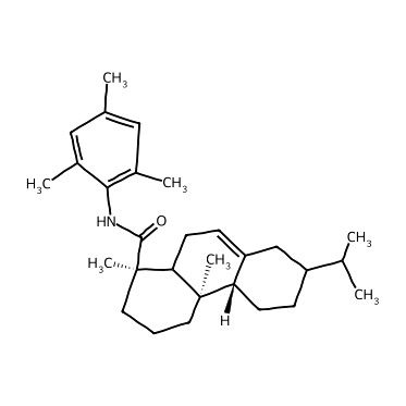 Cc1cc(C)c(NC(=O)[C@]2(C)CCC[C@@]3(C)C2CC=C2CC(C(C)C)CC[C@@H]23)c(C)c1